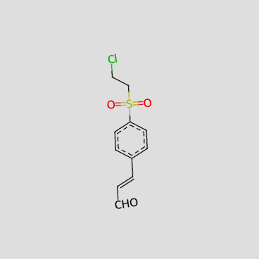 O=C/C=C/c1ccc(S(=O)(=O)CCCl)cc1